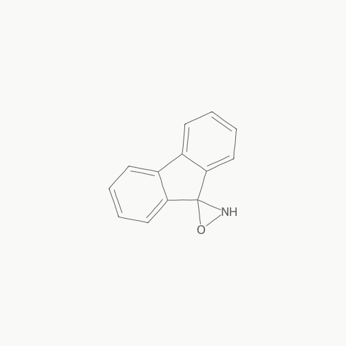 c1ccc2c(c1)-c1ccccc1C21NO1